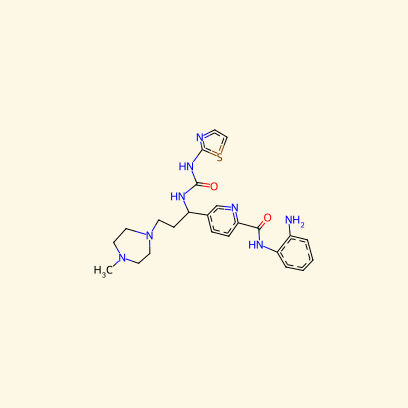 CN1CCN(CCC(NC(=O)Nc2nccs2)c2ccc(C(=O)Nc3ccccc3N)nc2)CC1